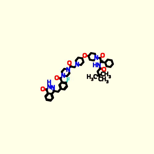 CC(C)(C)CC(=O)N[C@@H](C(=O)N1CCC(OC2CCN(CC(=O)N3CCN(C(=O)c4cc(Cc5n[nH]c(=O)c6ccccc56)ccc4F)CC3)CC2)CC1)C1CCCCC1